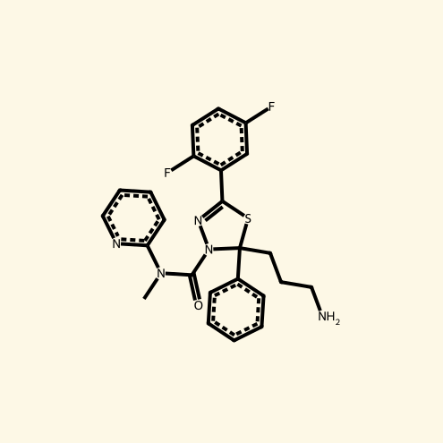 CN(C(=O)N1N=C(c2cc(F)ccc2F)SC1(CCCN)c1ccccc1)c1ccccn1